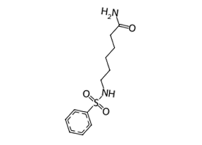 NC(=O)CCCCCNS(=O)(=O)c1ccccc1